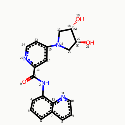 O=C(Nc1cccc2cccnc12)c1cc(N2C[C@H](O)[C@@H](O)C2)ccn1